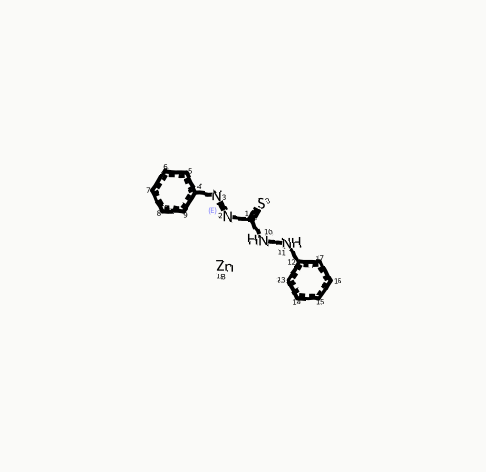 S=C(/N=N/c1ccccc1)NNc1ccccc1.[Zn]